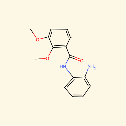 COc1cc[c]c(C(=O)Nc2ccccc2N)c1OC